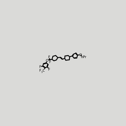 CCCOc1ccc(C2CCC(/C=C/C3CCC(C(F)(F)Oc4cc(F)c(C(F)(F)F)c(F)c4)CC3)CC2)cc1